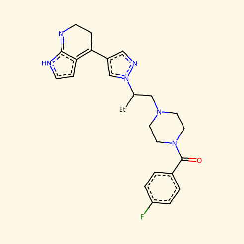 CCC(CN1CCN(C(=O)c2ccc(F)cc2)CC1)n1cc(C2=c3cc[nH]c3=NCC2)cn1